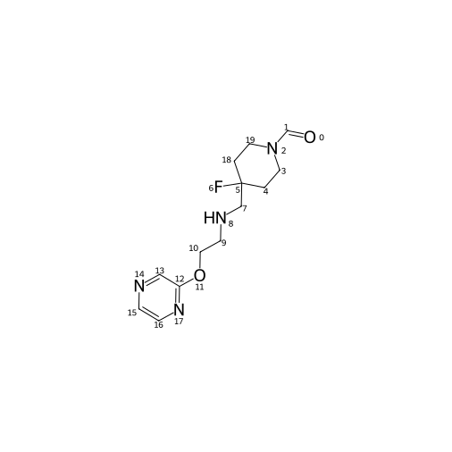 O=CN1CCC(F)(CNCCOc2cnccn2)CC1